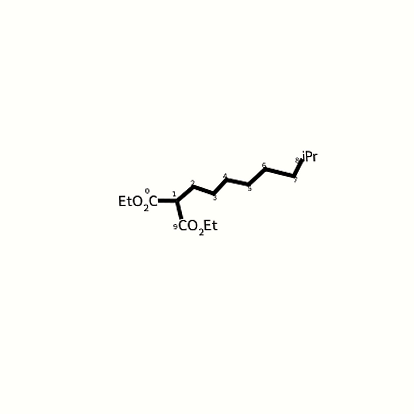 CCOC(=O)C(CCCCCCC(C)C)C(=O)OCC